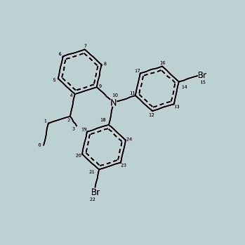 CCC(C)c1ccccc1N(c1ccc(Br)cc1)c1ccc(Br)cc1